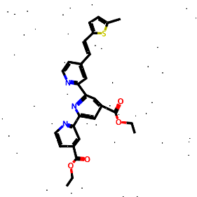 CCOC(=O)c1ccnc(-c2cc(C(=O)OCC)cc(-c3cc(/C=C/c4ccc(C)s4)ccn3)n2)c1